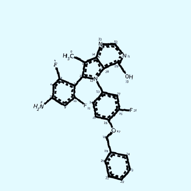 Cc1c(-c2c(F)cc(N)cc2F)n(-c2ccc(OCc3ccccc3)c(F)c2)c2c(O)ncnc12